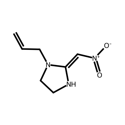 C=CCN1CCNC1=C[N+](=O)[O-]